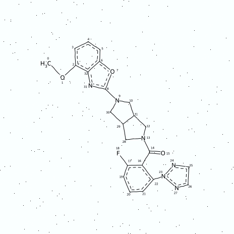 COc1cccc2oc(N3CC4CN(C(=O)c5c(F)cccc5-n5nccn5)CC4C3)nc12